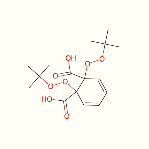 CC(C)(C)OOC1(C(=O)O)C=CC=CC1(OOC(C)(C)C)C(=O)O